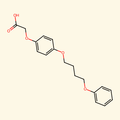 O=C(O)COc1ccc(OCCCCOc2ccccc2)cc1